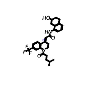 CC(C)CCC(=O)N1CC/C(=C\C(=O)Nc2cccc3c2CC(O)CC3)c2ccc(C(F)(F)F)cc21